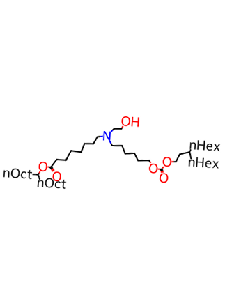 CCCCCCCCC(CCCCCCCC)OC(=O)CCCCCCCN(CCO)CCCCCCOC(=O)OCCC(CCCCCC)CCCCCC